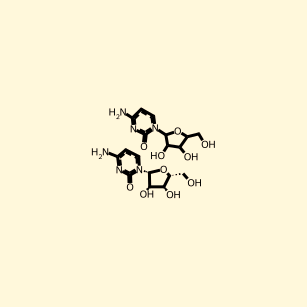 Nc1ccn(C2OC(CO)C(O)C2O)c(=O)n1.Nc1ccn([C@@H]2O[C@H](CO)[C@@H](O)[C@H]2O)c(=O)n1